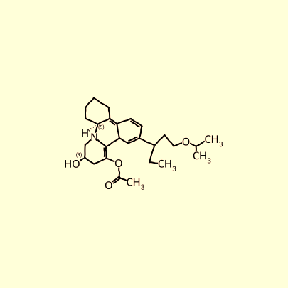 CCC(CCOC(C)C)C1=CC2C(=C3CCCC[C@@H]3N3C[C@H](O)CC(OC(C)=O)=C23)C=C1